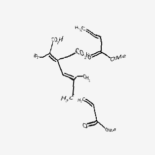 C=CC(=O)OC.C=CC(=O)OC.CC(C)=C/C(C(=O)O)=C(/C(=O)O)C(C)C